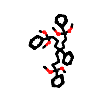 CO[Si](CCCC(CCC[Si](OC)(OC)c1ccccc1)(CCC[Si](OC)(OC)c1ccccc1)c1ccccc1)(OC)c1ccccc1